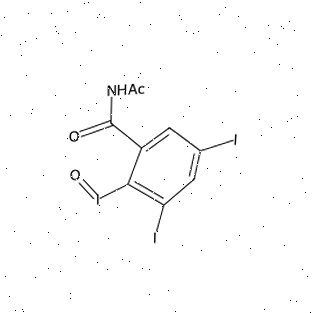 CC(=O)NC(=O)c1cc(I)cc(I)c1I=O